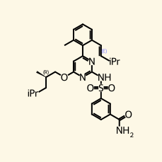 Cc1cccc(/C=C/C(C)C)c1-c1cc(OC[C@H](C)CC(C)C)nc(NS(=O)(=O)c2cccc(C(N)=O)c2)n1